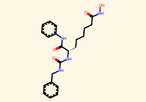 O=C(CCCCC[C@H](NC(=O)NCc1ccccc1)C(=O)Nc1ccccc1)NO